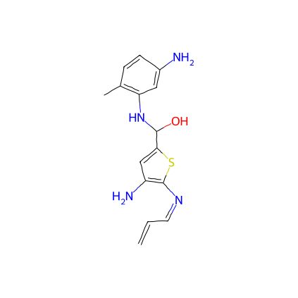 C=C/C=N\c1sc(C(O)Nc2cc(N)ccc2C)cc1N